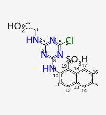 O=C(O)CNc1nc(Cl)nc(Nc2ccc3ccccc3c2S(=O)(=O)O)n1